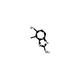 Cc1c(C(C)C)ccc2nc(C(C)(C)C)sc12